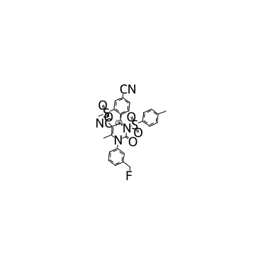 CC1=C(C#N)[C@@H](c2ccc(C#N)cc2S(C)(=O)=O)N(S(=O)(=O)c2ccc(C)cc2)C(=O)N1c1cccc(CF)c1